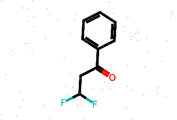 O=C(CC(F)F)c1ccccc1